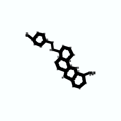 O=C(O)c1cccc2nc3ccc4c(OCc5ccc(Cl)cc5)cccc4c3nc12